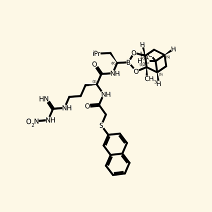 CC(C)C[C@H](NC(=O)[C@H](CCCNC(=N)N[N+](=O)[O-])NC(=O)CSc1ccc2ccccc2c1)B1O[C@@H]2C[C@@H]3C[C@@H](C3(C)C)[C@]2(C)O1